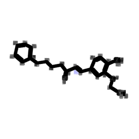 CCOc1cc(/C=C/C(=O)CCCCc2ccccc2)ccc1O